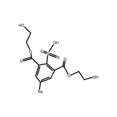 O=C(OCCO)c1c[c]([Na])cc(C(=O)OCCO)c1S(=O)(=O)O